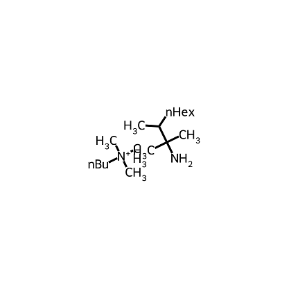 CCCCCCC(C)C(C)(C)N.CCCC[N+](C)(C)C